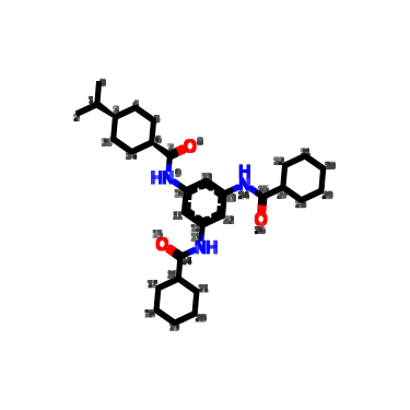 CC(C)[C@H]1CC[C@@H](C(=O)Nc2cc(NC(=O)C3CCCCC3)cc(NC(=O)C3CCCCC3)c2)CC1